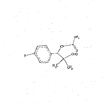 CC(C)(C=O)C(OC(N)=O)c1ccc(F)cc1